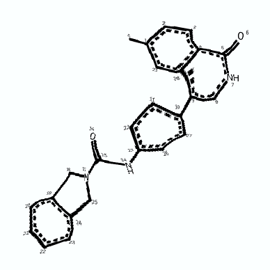 Cc1ccc2c(=O)[nH]cc(-c3ccc(NC(=O)N4Cc5ccccc5C4)cc3)c2c1